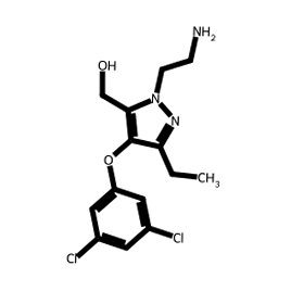 CCc1nn(CCN)c(CO)c1Oc1cc(Cl)cc(Cl)c1